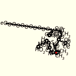 COCCOCCOCCOCCOCCOCCOCCOCCOCCOCCOCCN(CCC(=O)N[C@H](C(=O)N[C@@H](C)C(=O)Nc1ccc(COC(=O)N(CCOC23CC4(C)CC(C)(CC(Cn5ncc(-c6ccc(N7CCc8cccc(C(=O)Nc9nc%10ccccc%10s9)c8C7)nc6C(=O)O)c5C)(C4)C2)C3)CCS(=O)(=O)O)c(CC[C@@H]2O[C@H](C(=O)O)[C@@H](O)[C@H](O)[C@H]2O)c1)C(C)C)C(=O)CN1C(=O)C=CC1=O